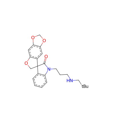 CC(C)(C)CNCCCN1C(=O)C2(COc3cc4c(cc32)OCO4)c2ccccc21